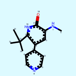 CNc1cc(-c2ccncc2)c(C(C)(C)C)[nH]c1=O